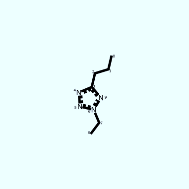 CCCc1nnn(CC)n1